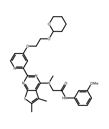 COc1cccc(NC(=O)CN(C)c2nc(-c3cc(OCCOC4CCCCO4)ccn3)nc3sc(C)c(C)c23)c1